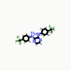 FC(F)(F)c1ccc(Nc2nccnc2Nc2ccc(C(F)(F)F)cc2)cc1